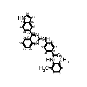 CC1=CCCC(C)=C1NC(=O)c1ccc(Nc2nc(-c3ccc4[nH]ccc4c3)c3ccccc3n2)cc1